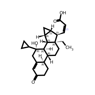 CC[C@]12CC[C@H]3[C@H]([C@@H]1[C@@H]1C[C@@H]1[C@H]2/C=C\C(=O)O)[C@](O)(C1CC1)CC1=CC(=O)CC[C@@H]13